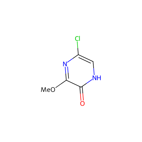 COc1nc(Cl)c[nH]c1=O